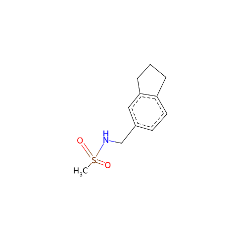 CS(=O)(=O)NCc1ccc2c(c1)CCC2